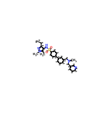 Cc1c(NS(=O)(=O)c2ccc(-c3cccc(CN(C)Cc4cccnc4)c3)cc2)c(CC(C)C)nn1C